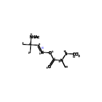 CC(=O)NC(C)(C)/C=N/OC(=O)N(C)SC(Cl)(Cl)Cl